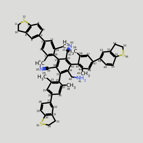 Cc1cc(-c2ccc3c(c2)CCS3)cc(C)c1-c1c(C#N)c(-c2c(C)cc(-c3ccc4c(c3)CCS4)cc2C)c(CN)c(-c2c(C)cc(-c3ccc4c(c3)CCS4)cc2C)c1C#N